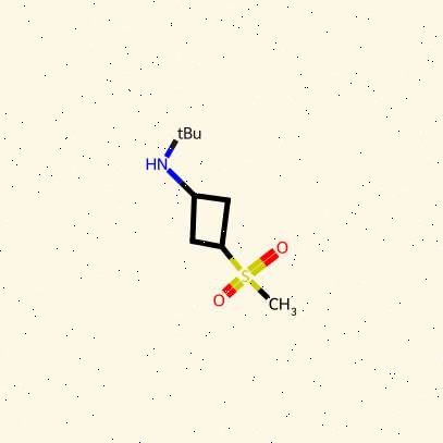 CC(C)(C)NC1CC(S(C)(=O)=O)C1